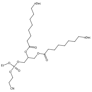 [CH2]COP(=O)(OCCC#N)OCC(COC(=O)CCCCCCCCCCCCCCCCC)OC(=O)CCCCCCCCCCCCCCCCC